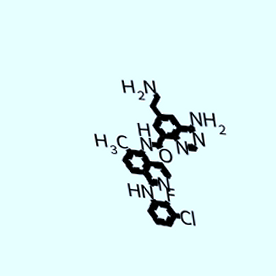 Cc1ccc2c(Nc3cccc(Cl)c3F)nccc2c1NC(=O)c1cc(CCN)cc2c(N)ncnc12